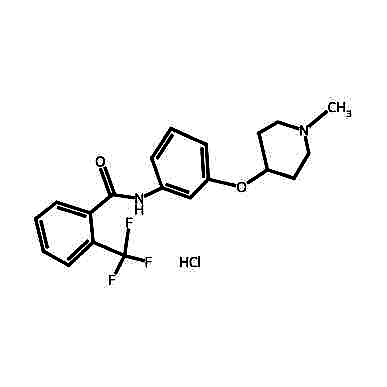 CN1CCC(Oc2cccc(NC(=O)c3ccccc3C(F)(F)F)c2)CC1.Cl